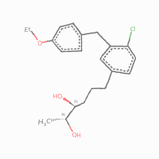 CCOc1ccc(Cc2cc(CCC[C@H](O)[C@@H](C)O)ccc2Cl)cc1